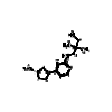 CN[C@H]1CCN(c2ccnc(NCC(C)(C)CO)n2)C1